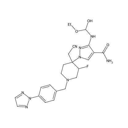 CCOC(O)Nc1nn(C2(CC#N)CCN(Cc3ccc(-n4nccn4)cc3)CC2F)cc1C(N)=O